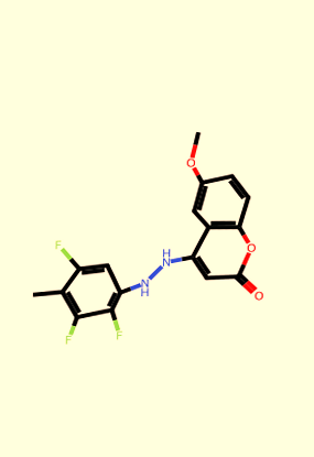 COc1ccc2oc(=O)cc(NNc3cc(F)c(C)c(F)c3F)c2c1